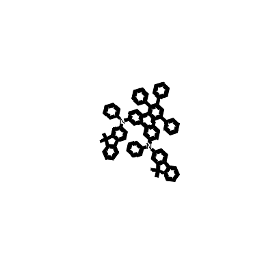 CC1(C)c2ccccc2-c2ccc(N(c3ccccc3)c3ccc4c(c3)c3cc(N(c5ccccc5)c5ccc6c(c5)C(C)(C)c5ccccc5-6)ccc3c3c(-c5ccccc5)c(-c5ccccc5)cc(-c5ccccc5)c43)cc21